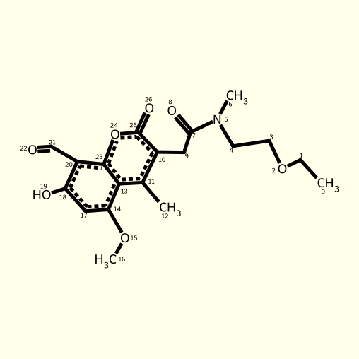 CCOCCN(C)C(=O)Cc1c(C)c2c(OC)cc(O)c(C=O)c2oc1=O